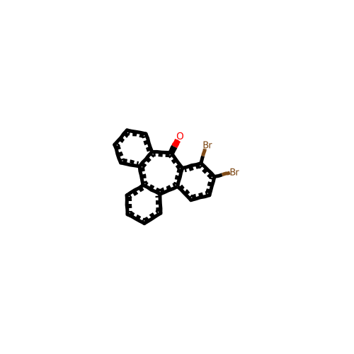 O=c1c2ccccc2c2ccccc2c2ccc(Br)c(Br)c12